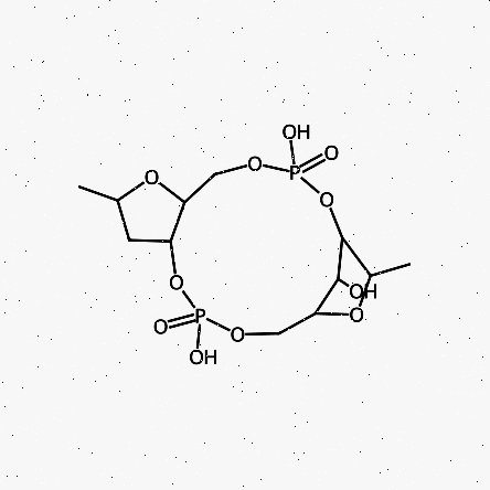 CC1CC2OP(=O)(O)OCC3OC(C)C(OP(=O)(O)OCC2O1)C3O